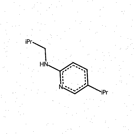 CC(C)CNc1ccc(C(C)C)cn1